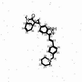 CN1C(=O)[C@@]2(C[C@H]2c2ccc3c(/C=C/c4ccc(CN5CCCCC5)cc4)n[nH]c3c2)C2C=C1C=CC2